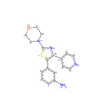 Nc1cccc(-c2sc(N3CCOCC3)nc2-c2ccncc2)c1